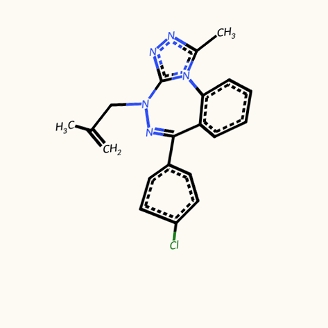 C=C(C)CN1N=C(c2ccc(Cl)cc2)c2ccccc2-n2c(C)nnc21